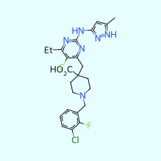 CCc1nc(Nc2cc(C)[nH]n2)nc(CC2(C(=O)O)CCN(Cc3cccc(Cl)c3F)CC2)c1F